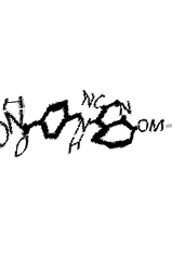 COc1cccc2c(NCc3ccc(C(=O)NO)cc3)c(C#N)cnc12